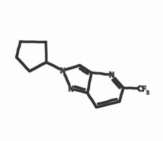 FC(F)(F)c1ccc2nn(C3CCCC3)cc2n1